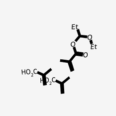 C=C(C)C(=O)O.C=C(C)C(=O)O.C=C(C)C(=O)OC(CC)OCC